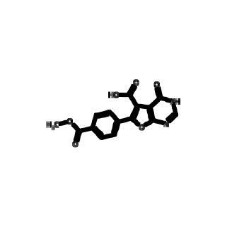 COC(=O)c1ccc(-c2oc3nc[nH]c(=O)c3c2C(=O)O)cc1